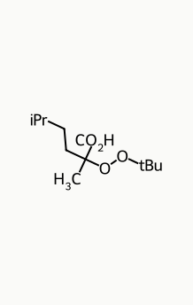 CC(C)CCC(C)(OOC(C)(C)C)C(=O)O